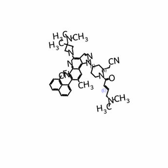 Cc1cc2c(nc(N3CC(C)(N(C)C)C3)c3cnn([C@H]4CCN(C(=O)/C=C/CN(C)C)[C@H](CC#N)C4)c32)c(F)c1-c1cccc2cccc(C#N)c12